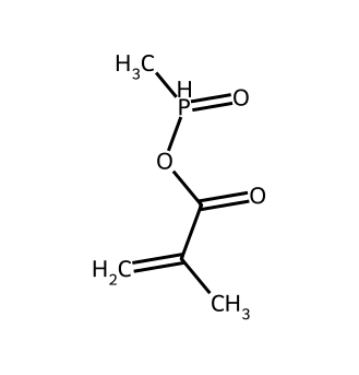 C=C(C)C(=O)O[PH](C)=O